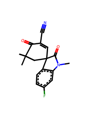 CN1C(=O)C2(C=C(C#N)C(=O)C(C)(C)C2)c2ccc(F)cc21